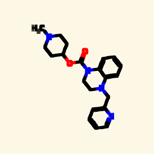 CN1CCC(OC(=O)N2CCN(Cc3ccccn3)c3ccccc32)CC1